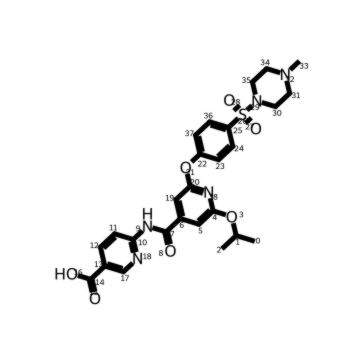 CC(C)Oc1cc(C(=O)Nc2ccc(C(=O)O)cn2)cc(Oc2ccc(S(=O)(=O)N3CCN(C)CC3)cc2)n1